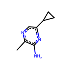 Cc1ncc(C2CC2)nc1N